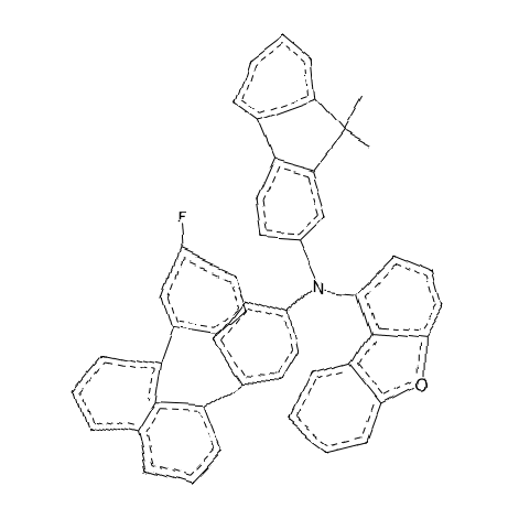 CC1(C)c2ccccc2-c2ccc(N(c3ccc(-c4cccc5cccc(-c6cccc(F)c6)c45)cc3)c3cccc4oc5ccccc5c34)cc21